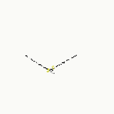 [CH2]c1cc(SCCCCCCCCCCCCCCCCCCCC)cc(SCCCCCCCCCCCCCCCCCCCC)c1